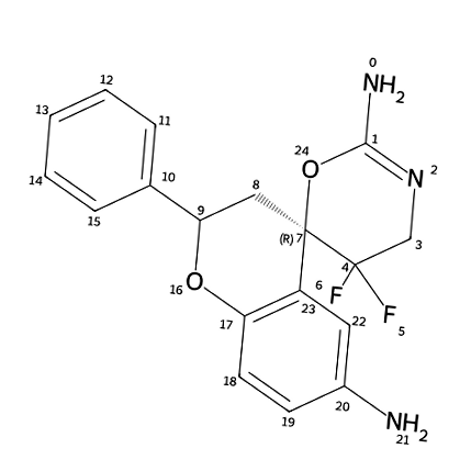 NC1=NCC(F)(F)[C@]2(CC(c3ccccc3)Oc3ccc(N)cc32)O1